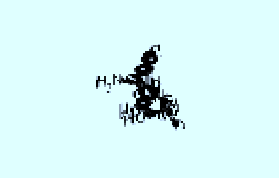 C[C@@H]1NC(=O)[C@@H](N(C)C(=O)[C@H](CCCCN)NC(=O)c2ccc(-c3ccc(Cl)cc3)cc2)c2ccc(O)c(c2)-c2cc(ccc2O)C[C@@H](C(=O)NCC=O)NC1=O